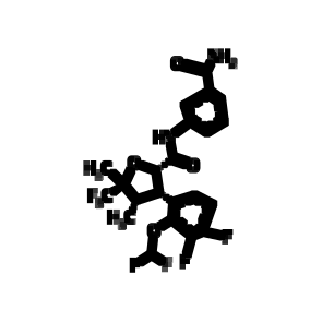 C[C@H]1[C@@H](c2ccc(F)c(F)c2OC(F)F)[C@@H](C(=O)Nc2cccc(C(N)=O)c2)O[C@]1(C)C(F)(F)F